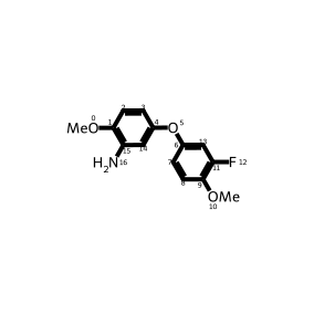 COc1ccc(Oc2ccc(OC)c(F)c2)cc1N